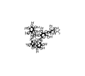 CC(C(=O)O)N(C)C.OC[C@H]1O[C@H](OC[C@H]2O[C@H](O[C@]3(CO)O[C@H](CO)[C@@H](O)[C@@H]3O)[C@H](O)[C@@H](O)[C@@H]2O)[C@H](O)[C@@H](O)[C@H]1O.O[C@H]1[C@H](O)[C@@H](O)[C@H](O)[C@@H](O)[C@H]1O